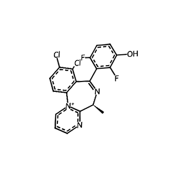 C[C@@H]1N=C(c2c(F)ccc(O)c2F)c2c(ccc(Cl)c2Cl)-[n+]2cccnc21